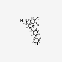 Cc1cnccc1-c1cccc(CN(CCCN)Sc2cccc(Cl)c2C)c1